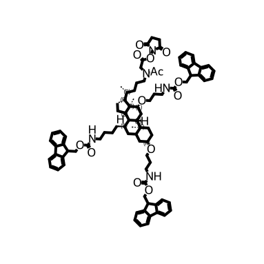 CC(=O)N(CCC[C@@H](C)[C@H]1CC[C@H]2C3[C@H](CCCCNC(=O)OCC4c5ccccc5-c5ccccc54)CC4C[C@H](OCCCNC(=O)OCC5c6ccccc6-c6ccccc65)CC[C@]4(C)[C@H]3C[C@H](OCCCNC(=O)OCC3c4ccccc4-c4ccccc43)[C@]12C)CC(=O)ON1C(=O)CCC1=O